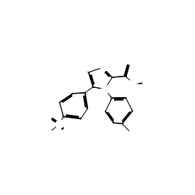 COC(=O)c1ncc(-c2ccc(S(C)(=O)=O)cc2)n1-c1ccc(F)cc1